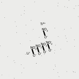 O=[N+]([O-])[O-].O=[N+]([O-])[O-].O=[N+]([O-])[O-].O=[N+]([O-])[O-].O=[N+]([O-])[O-].[Li+].[Ti+4]